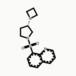 O=S(=O)(c1cccc2cccnc12)N1CC[C@H](N2CCC2)C1